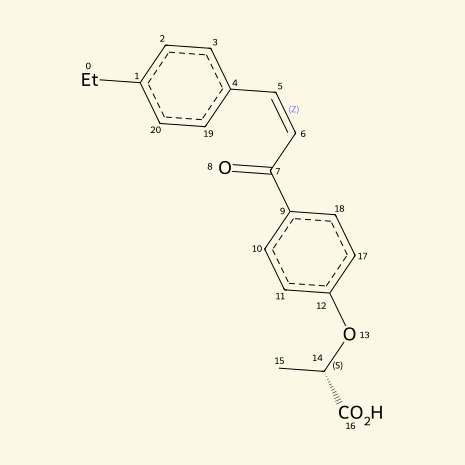 CCc1ccc(/C=C\C(=O)c2ccc(O[C@@H](C)C(=O)O)cc2)cc1